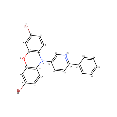 Brc1ccc2c(c1)Oc1cc(Br)ccc1N2c1ccc(-c2ccccc2)nc1